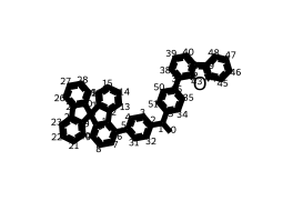 CC(c1ccc(-c2cccc3c2-c2ccccc2C32c3ccccc3-c3ccccc32)cc1)c1ccc(-c2cccc3c2oc2ccccc23)cc1